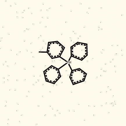 Cc1cccc([PH](c2ccccc2)(c2ccccc2)c2ccccc2)c1